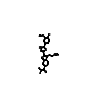 COCCn1c(-c2c[nH]c(-c3ccc(Cl)c(OC)c3)n2)nc2cc(C(=O)N(C)C)ccc21